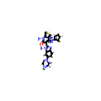 CN1CCN(c2ccc3nc(-c4c(NC5CCCC5)c5cscc5[nH]c4=O)[nH]c3c2)CC1